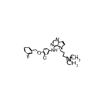 CN(C)CCCn1ccc2ncnc(Nc3ccc(OCc4cccc(F)c4)c(Cl)c3)c21